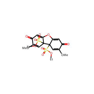 CCOS(=O)(=O)C12C=C(OC)C(=O)C=C1OC1=CC(=O)C(OC)=CC12S(=O)(=O)OCC